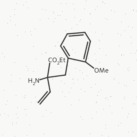 C=CC(N)(Cc1ccccc1OC)C(=O)OCC